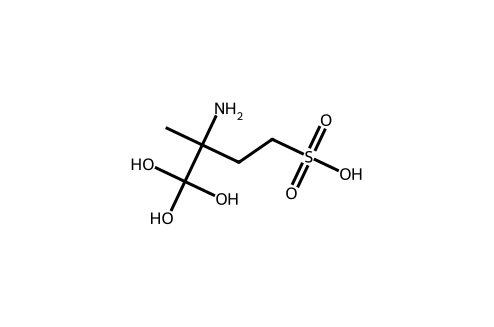 CC(N)(CCS(=O)(=O)O)C(O)(O)O